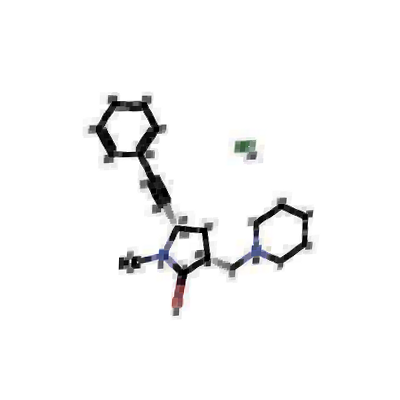 CN1C(=O)[C@@H](CN2CCCCC2)C[C@H]1C#Cc1ccccc1.Cl